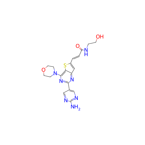 Nc1ncc(-c2nc(N3CCOCC3)c3sc(/C=C/C(=O)NCCO)cc3n2)cn1